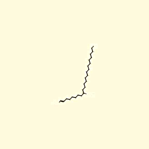 CCCCCCCCC=CCCCCCCC(CCCCCCCCCCCCCCCC(C)C)C(=O)O